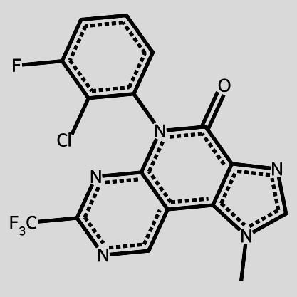 Cn1cnc2c(=O)n(-c3cccc(F)c3Cl)c3nc(C(F)(F)F)ncc3c21